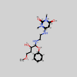 CCOCCC(O)C(NCCNc1cc(=O)n(C)c(=O)n1C)Oc1ccccc1